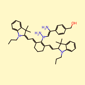 CCCN1/C(=C/C=C2\CCCC(/C=C/C3N(CCC)c4ccccc4C3(C)C)=C2N(N)/C=C(\N)c2ccc(CO)cc2)C(C)(C)c2ccccc21